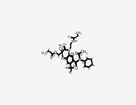 CCC(=O)NCCN1C(=O)C(C)(COC(=O)CC)Oc2cc(C(F)(F)F)c(C(=O)N(C(C)C)C3CCCCC3)cc21